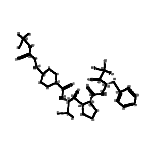 CC(C)[C@H](NC(=O)N1CCC(NCC(=O)OC(C)(C)C)CC1)C(=O)N1CCC[C@H]1C(=O)N[C@@H](Cc1ccccc1)C(=O)C(F)(F)F